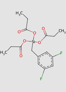 CCC(=O)O[Si](Cc1cc(F)cc(F)c1)(OC(=O)CC)OC(=O)CC